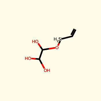 C=C[SiH2]OC(O)C(O)O